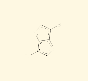 CCc1csc2c(Br)csc12